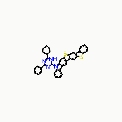 c1ccc(C2=NC(n3c4ccccc4c4cc5c(cc43)sc3cc4c(cc35)sc3ccccc34)NC(c3ccccc3)=N2)cc1